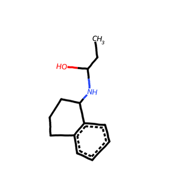 CCC(O)NC1CCCc2ccccc21